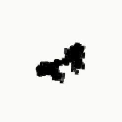 COc1cccc2c1C(=O)c1c(O)c3c(c(O)c1C2=O)CC(O)(/C(C)=N/NC(=O)CCCCC(=O)N/N=C(\C)C1(O)Cc2c(O)c4c(c(O)c2C(OC2CC(N)C(O)C(C)O2)C1)C(=O)c1c(OC)cccc1C4=O)CC3OC1CC(N)C(O)C(C)O1